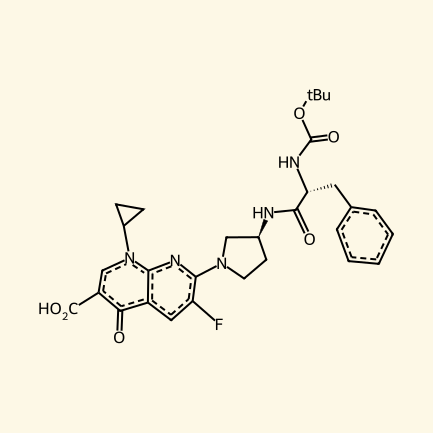 CC(C)(C)OC(=O)N[C@H](Cc1ccccc1)C(=O)N[C@H]1CCN(c2nc3c(cc2F)c(=O)c(C(=O)O)cn3C2CC2)C1